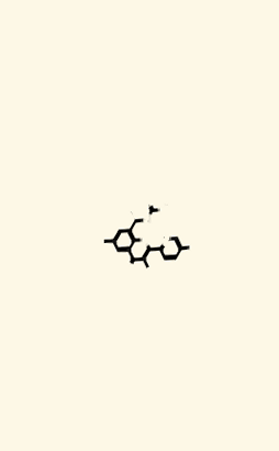 Cc1cc([C@@H](C)NC(=O)OC(C)(C)C)c2oc(-c3ccc(F)cn3)c(C)c(=O)c2c1